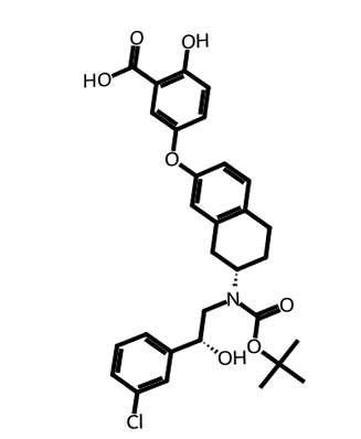 CC(C)(C)OC(=O)N(C[C@H](O)c1cccc(Cl)c1)[C@H]1CCc2ccc(Oc3ccc(O)c(C(=O)O)c3)cc2C1